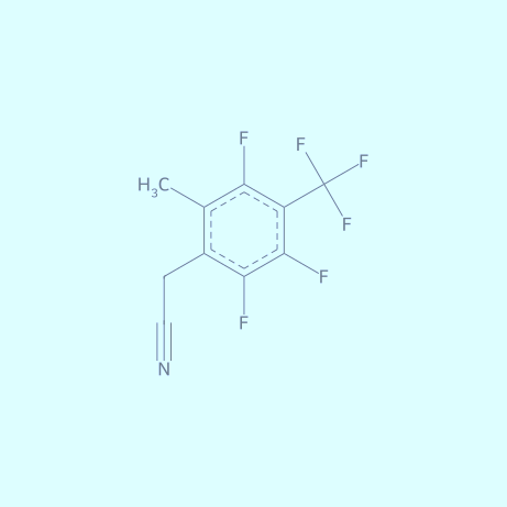 Cc1c(F)c(C(F)(F)F)c(F)c(F)c1CC#N